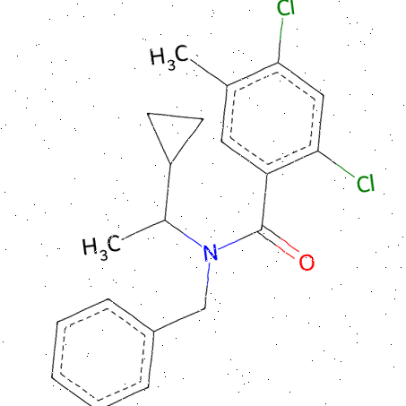 Cc1cc(C(=O)N(Cc2ccccc2)C(C)C2CC2)c(Cl)cc1Cl